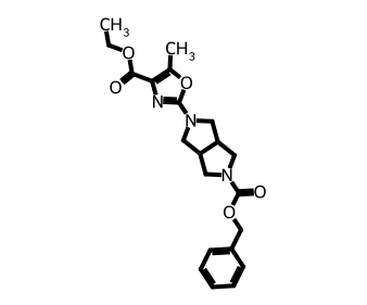 CCOC(=O)c1nc(N2CC3CN(C(=O)OCc4ccccc4)CC3C2)oc1C